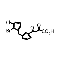 O=C(O)C(=O)CC(=O)c1cccc(Cc2cccc(Cl)c2Br)c1